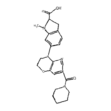 CN1c2cc(N3CCOc4cc(C(=O)N5CCCCC5)cnc43)ccc2CC1C(=O)O